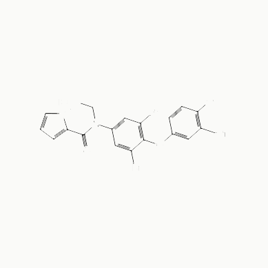 CC(C)c1cc(Oc2c(Br)cc(N(CC(=O)O)C(=O)c3ccco3)cc2Br)ccc1O